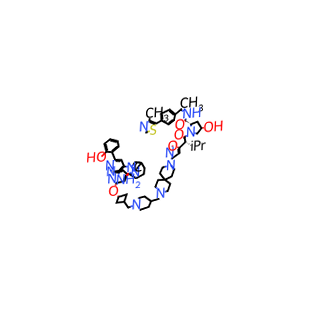 Cc1ncsc1-c1ccc([C@H](C)NC(=O)[C@@H]2C[C@@H](O)CN2C(=O)[C@@H](c2cc(N3CCC4(CCN(CC5CCN(CC6CC(Oc7cc(N8CC9CCC8CN(c8cc(-c%10ccccc%10O)nnc8N)C9)ccn7)C6)CC5)CC4)CC3)no2)C(C)C)cc1